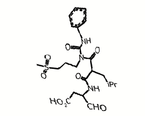 CC(C)CC(C(=O)NC(C=O)CC(=O)O)C(=O)N(CCCS(C)(=O)=O)C(=O)Nc1ccccc1